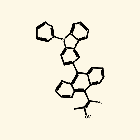 CO/C(C)=C(\C(C)=O)c1c2ccccc2c(-c2ccc3c(c2)c2ccccc2n3-c2ccccc2)c2ccccc12